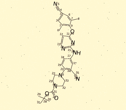 Cc1cc(C#N)cc(C)c1Oc1ccnc(Nc2ccc(N3CCN(C(=O)OC(C)(C)C)CC3)c(C#N)c2)n1